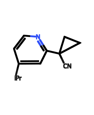 CC(C)c1ccnc(C2(C#N)CC2)c1